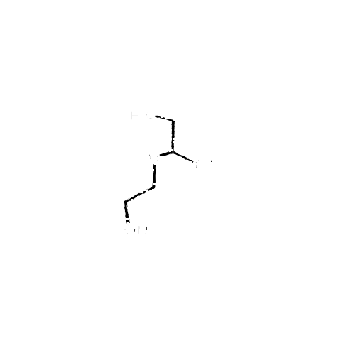 [CH2]CC(C)OCCO